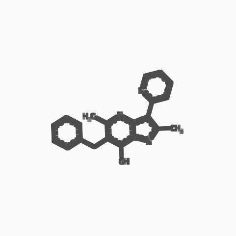 Cc1nc2c(-c3ccccn3)c(C)nn2c(O)c1Cc1ccccc1